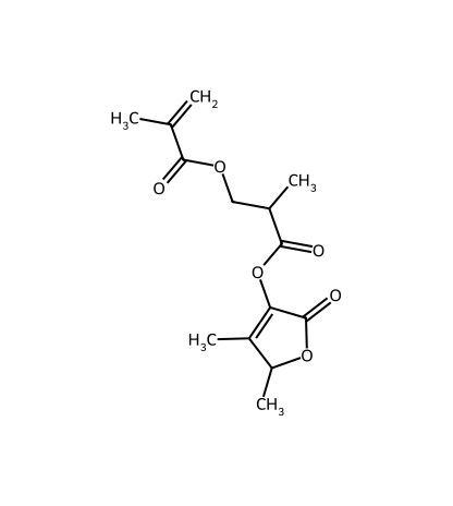 C=C(C)C(=O)OCC(C)C(=O)OC1=C(C)C(C)OC1=O